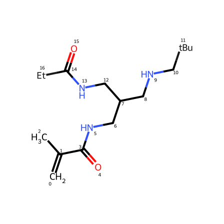 C=C(C)C(=O)NCC(CNCC(C)(C)C)CNC(=O)CC